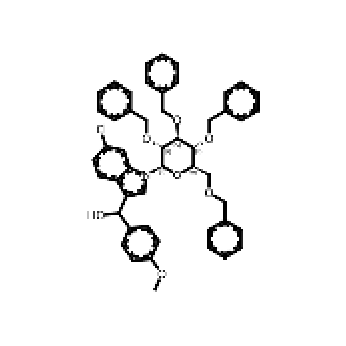 COc1ccc(C(O)c2cn([C@@H]3O[C@H](COCc4ccccc4)[C@@H](OCc4ccccc4)[C@H](OCc4ccccc4)[C@H]3OCc3ccccc3)c3cc(Cl)ccc23)cc1